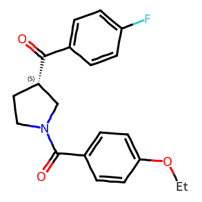 CCOc1ccc(C(=O)N2CC[C@H](C(=O)c3ccc(F)cc3)C2)cc1